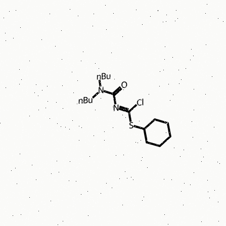 CCCCN(CCCC)C(=O)N=C(Cl)SC1CCCCC1